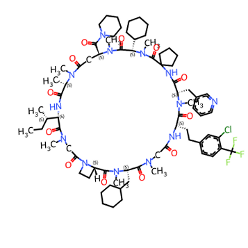 CC[C@H](C)[C@@H]1NC(=O)[C@H](C)N(C)C(=O)C[C@@H](C(=O)N2CCCCC2)N(C)C(=O)[C@H](C2CCCCC2)N(C)C(=O)C2(CCCC2)NC(=O)[C@H](Cc2cccnc2)N(C)C(=O)[C@H](CCc2ccc(C(F)(F)F)c(Cl)c2)NC(=O)CN(C)C(=O)[C@H](CC2CCCCC2)N(C)C(=O)[C@@H]2CCN2C(=O)CN(C)C1=O